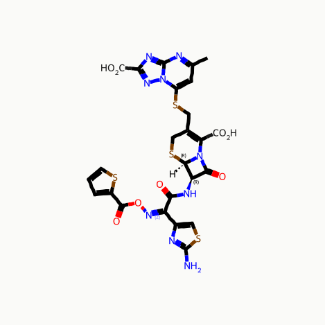 Cc1cc(SCC2=C(C(=O)O)N3C(=O)[C@@H](NC(=O)/C(=N\OC(=O)c4cccs4)c4csc(N)n4)[C@H]3SC2)n2nc(C(=O)O)nc2n1